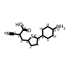 N#CC(CC1CCC(C2CCC(N)CC2)S1)C(=O)O